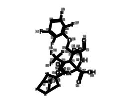 CN1C2CCC1CC(C(=O)NC(NC(=O)C=O)(C(=O)O)C(C(=O)COc1c(F)c(F)cc(F)c1F)C(=O)C(F)(F)F)C2